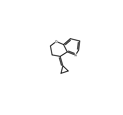 c1cnc2c(c1)OCCC2=C1CC1